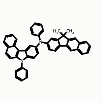 CC1(C)c2cc(N(c3ccccc3)c3ccc4c(c3)c3c5ccccc5ccc3n4-c3ccccc3)ccc2-c2cc3ccccc3cc21